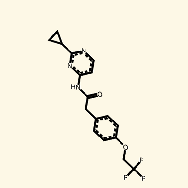 O=C(Cc1ccc(OCC(F)(F)F)cc1)Nc1ccnc(C2CC2)n1